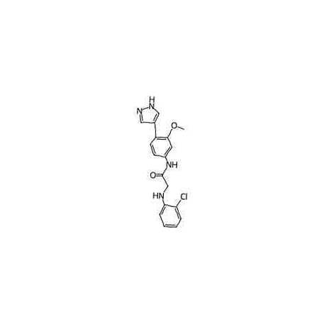 COc1cc(NC(=O)CNc2ccccc2Cl)ccc1-c1cn[nH]c1